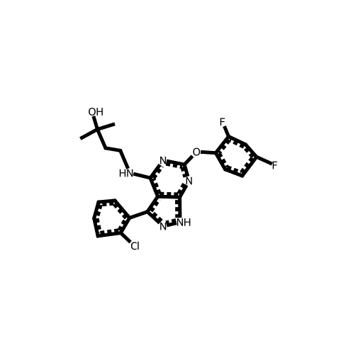 CC(C)(O)CCNc1nc(Oc2ccc(F)cc2F)nc2[nH]nc(-c3ccccc3Cl)c12